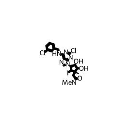 CNC(=O)C[C@@]1(C)C(O)C(O)[C@H](n2cnc3c(NCc4cccc(Cl)c4)nc(Cl)nc32)C1I